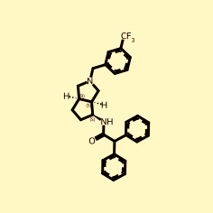 O=C(N[C@H]1CC[C@H]2CN(Cc3cccc(C(F)(F)F)c3)C[C@H]21)C(c1ccccc1)c1ccccc1